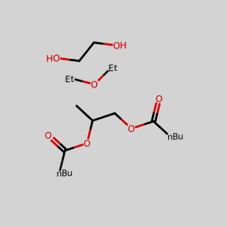 CCCCC(=O)OCC(C)OC(=O)CCCC.CCOCC.OCCO